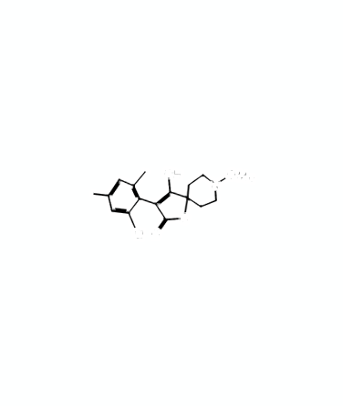 CON1CCC2(CC1)OC(=O)C(c1c(C)cc(C)cc1Cl)=C2O